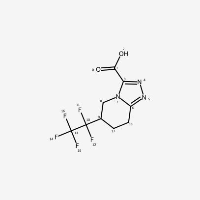 O=C(O)c1nnc2n1CC(C(F)(F)C(F)(F)F)CC2